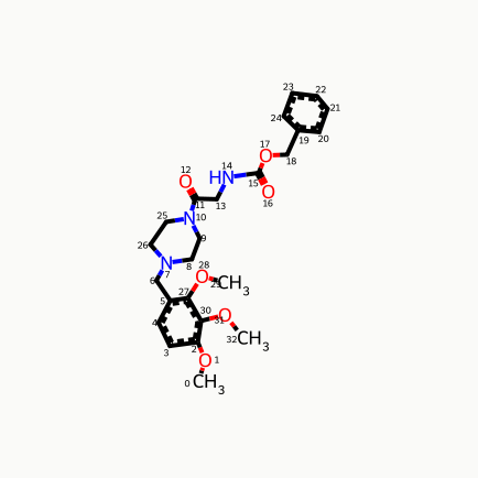 COc1ccc(CN2CCN(C(=O)CNC(=O)OCc3ccccc3)CC2)c(OC)c1OC